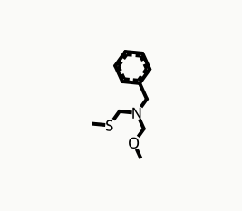 COCN(CSC)Cc1ccccc1